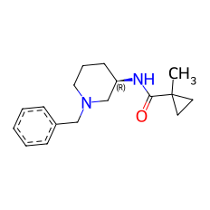 CC1(C(=O)N[C@@H]2CCCN(Cc3ccccc3)C2)CC1